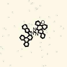 c1ccc2cc3c(cc2c1)c1c2c4ccccc4c4ccccc4c2ccc1n3-c1nc(-c2cccc3oc4ccccc4c23)c2ccc3ccccc3c2n1